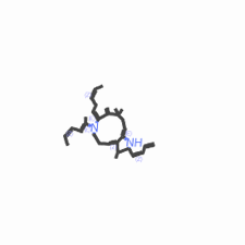 C=C/C=C\C1NC2=C/CC(C)(C)C(=C)/C(=C\C/C=C\C)N(/C(C)=C/C=C\C)CC/C=C\2C1C